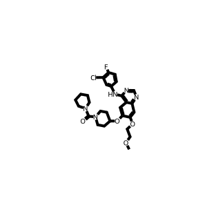 COCCOc1cc2ncnc(Nc3ccc(F)c(Cl)c3)c2cc1OC1CCN(C(=O)N2CCCCC2)CC1